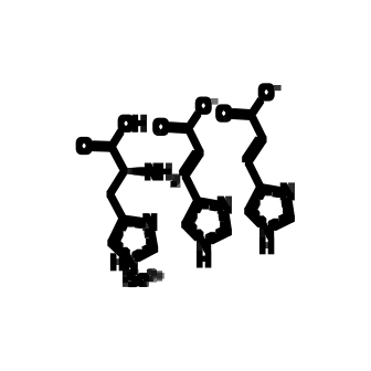 N[C@@H](Cc1c[nH]cn1)C(=O)O.O=C([O-])C=Cc1c[nH]cn1.O=C([O-])C=Cc1c[nH]cn1.[Se+2]